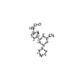 N#Cc1cc(-c2ccncc2)cc(-c2csc(NC=O)n2)c1